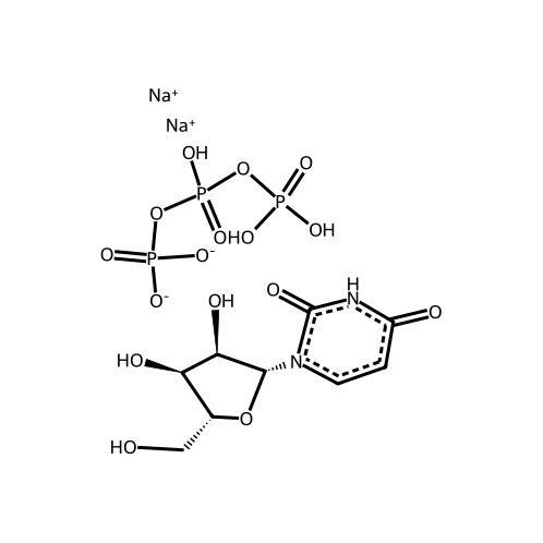 O=P([O-])([O-])OP(=O)(O)OP(=O)(O)O.O=c1ccn([C@@H]2O[C@H](CO)[C@@H](O)[C@H]2O)c(=O)[nH]1.[Na+].[Na+]